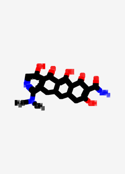 CN(C)c1ncc(O)c2c1CC1CC3CC(O)=C(C(N)=O)C(=O)C3C(O)=C1C2=O